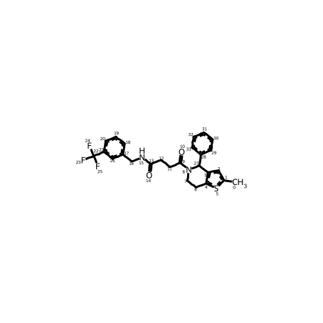 Cc1cc2c(s1)CCN(C(=O)CCC(=O)NCc1cccc(C(F)(F)F)c1)C2c1ccccc1